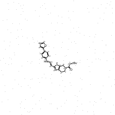 CC(C)(C)OC(=O)N1CCc2nc(C=NNc3ccc(-c4cnco4)cc3)sc2C1